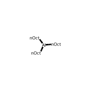 CCCCCCC[CH2][Al]([CH2]CCCCCCC)[CH2]CCCCCCC